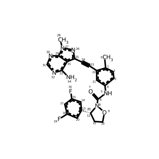 Cc1ccc(NC(=O)N2OCC[C@@H]2c2cc(F)cc(F)c2)cc1C#Cc1nn(C)c2ncnc(N)c12